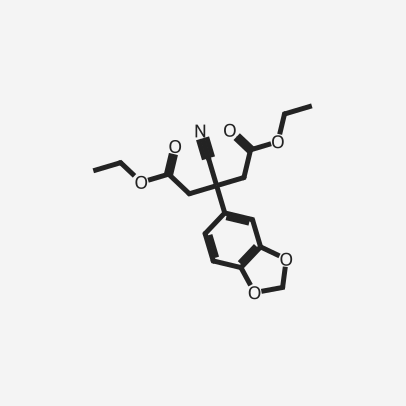 CCOC(=O)CC(C#N)(CC(=O)OCC)c1ccc2c(c1)OCO2